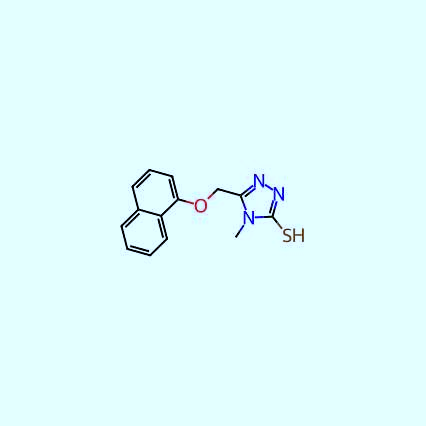 Cn1c(S)nnc1COc1cccc2ccccc12